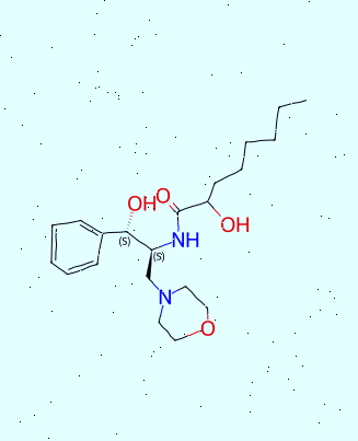 CCCCCCC(O)C(=O)N[C@@H](CN1CCOCC1)[C@@H](O)c1ccccc1